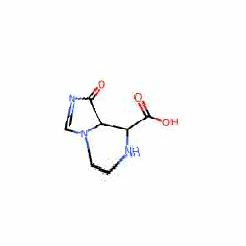 O=C(O)C1NCCN2C=NC(=O)C12